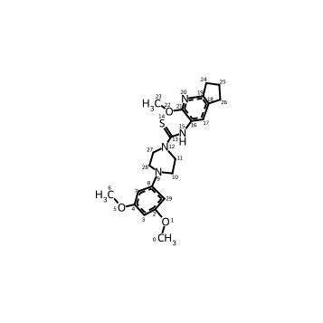 COc1cc(OC)cc(N2CCN(C(=S)Nc3cc4c(nc3OC)CCC4)CC2)c1